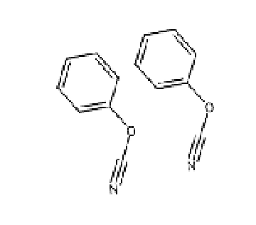 N#COc1ccccc1.N#COc1ccccc1